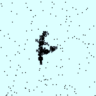 Cc1cc(C[n+]2cnn(CC(O)(c3ccc(F)cc3F)C(C)c3nc(-c4ccc(C#N)cc4)cs3)c2)cc(C)c1OC(=O)CNC(=O)CN.O=C(O)C(F)(F)F.[Br-]